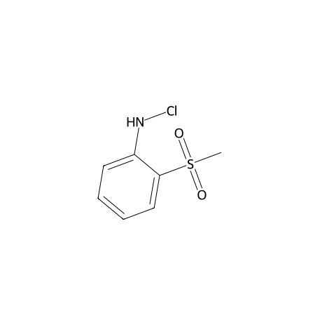 CS(=O)(=O)c1ccccc1NCl